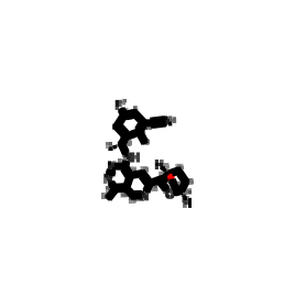 Cc1c(C#N)cc(F)cc1[C@@H](C)Nc1nnc(C)c2cnc(N3C[C@H]4CC[C@@H]3CO4)cc12